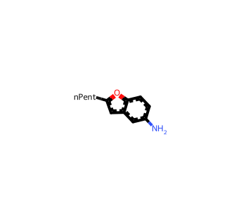 CCCCCc1cc2cc(N)ccc2o1